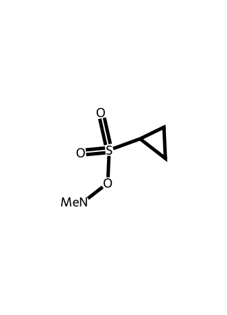 CNOS(=O)(=O)C1CC1